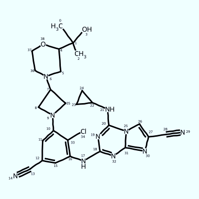 CC(C)(O)C1CN(C2CN(c3cc(C#N)cc(Nc4nc(NC5CC5)n5cc(C#N)nc5n4)c3Cl)C2)CCO1